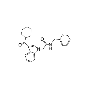 O=C(Cn1cc(C(=O)C2CCCCC2)c2ccccc21)NCc1ccccc1